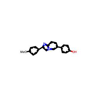 COc1ccc(-c2cn3cc(-c4ccc(O)cc4)ccc3n2)cc1